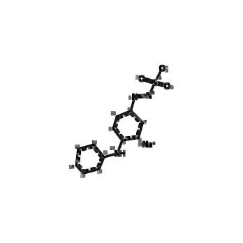 O=S(=O)([O-])N=Nc1ccc(Nc2ccccc2)cc1.[Na+]